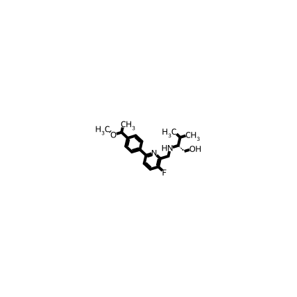 COC(C)c1ccc(-c2ccc(F)c(CN[C@@H](CO)C(C)C)n2)cc1